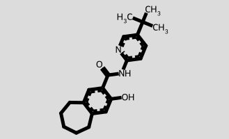 CC(C)(C)c1ccc(NC(=O)c2cc3c(cc2O)CCCCC3)nc1